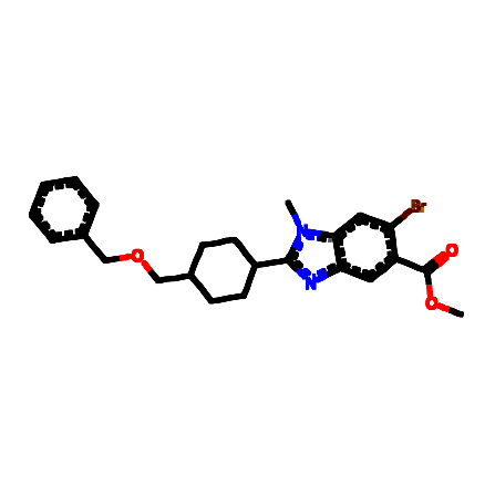 COC(=O)c1cc2nc(C3CCC(COCc4ccccc4)CC3)n(C)c2cc1Br